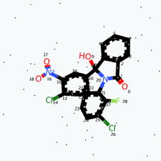 O=C1c2ccccc2C(O)(c2ccc(Cl)c([N+](=O)[O-])c2)N1c1cccc(Cl)c1F